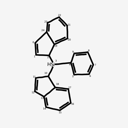 C1=CC([SiH](c2ccccc2)C2C=Cc3ccccc32)c2ccccc21